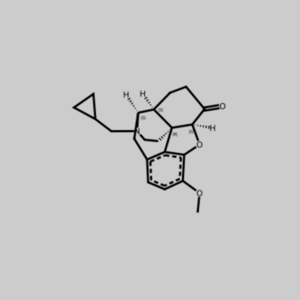 COc1ccc2c3c1O[C@@H]1C(=O)CC[C@@H]4[C@H](C2)N(CC2CC2)CC[C@@]314